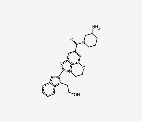 N[C@@H]1CCCN(C(=O)c2cc3c4c(c2)nc(-c2cc5ccccc5n2CCO)n4CCO3)C1